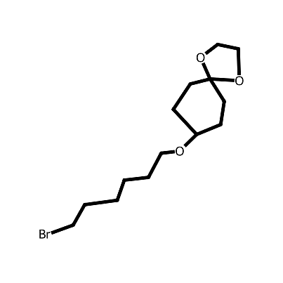 BrCCCCCCOC1CCC2(CC1)OCCO2